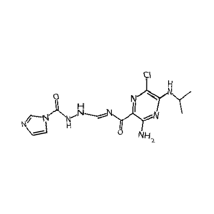 CC(C)Nc1nc(N)c(C(=O)N=CNNC(=O)n2ccnc2)nc1Cl